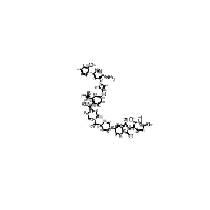 Nc1nnc(-c2ccccc2O)cc1N1CC(Oc2ccc(C(=O)N3CCN(C(=O)C4CCN(c5ccc6c(c5)C(=O)N(C5CCC(=O)NC5=O)C6=O)CC4)CC3)c(C(F)(F)F)c2)C1